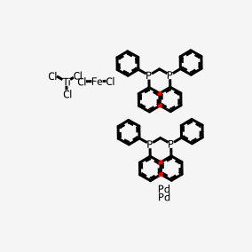 [Cl][Fe][Cl].[Cl][Ti]([Cl])[Cl].[Pd].[Pd].c1ccc(P(CP(c2ccccc2)c2ccccc2)c2ccccc2)cc1.c1ccc(P(CP(c2ccccc2)c2ccccc2)c2ccccc2)cc1